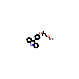 CC(C)(C)OCCC(C)(C)Oc1ccc(-c2c3ccccc3nc3ccccc23)cc1